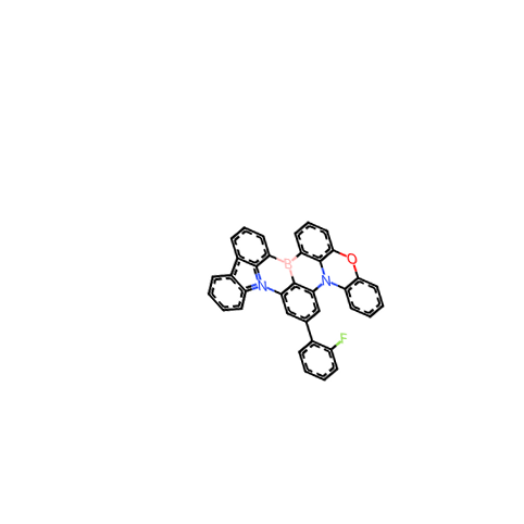 Fc1ccccc1-c1cc2c3c(c1)-n1c4ccccc4c4cccc(c41)B3c1cccc3c1N2c1ccccc1O3